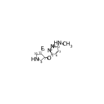 CNc1ccc(O[C@H]2CNC[C@@H]2F)nn1